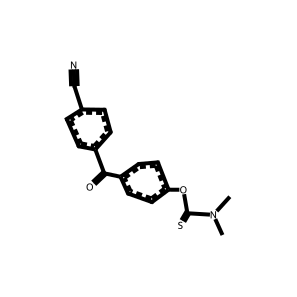 CN(C)C(=S)Oc1ccc(C(=O)c2ccc(C#N)cc2)cc1